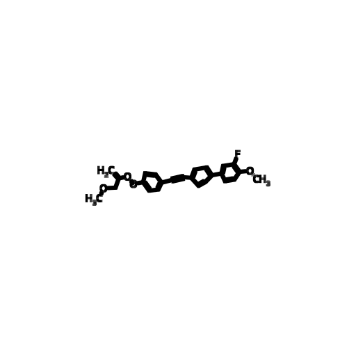 C=C(COC)OOc1ccc(C#Cc2ccc(-c3ccc(OC)c(F)c3)cc2)cc1